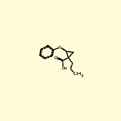 CCCC1(C(=O)O)CC1Oc1ccccc1